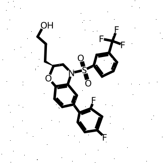 O=S(=O)(c1cccc(C(F)(F)F)c1)N1C[C@H](CCCO)Oc2ccc(-c3ccc(F)cc3F)cc21